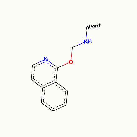 CCCCCNCOc1nccc2ccccc12